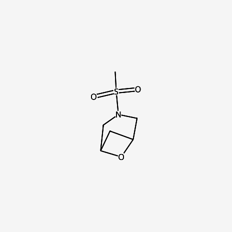 CS(=O)(=O)N1CC2CC(C1)O2